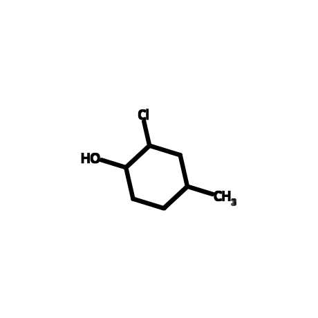 CC1CCC(O)C(Cl)C1